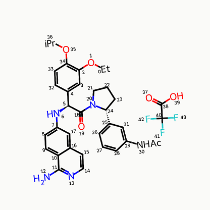 CCOc1cc([C@H](Nc2ccc3c(N)nccc3c2)C(=O)N2CCC[C@@H]2c2cccc(NC(C)=O)c2)ccc1OC(C)C.O=C(O)C(F)(F)F